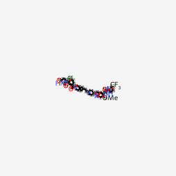 COc1cc2nn(C3CCN(CCC4CC5(CCN(C(=O)c6ccc(Cl)c(N7CCC(=O)NC7=O)c6)CC5)C4)CC3)cc2cc1NC(=O)c1cccc(C(F)(F)F)n1